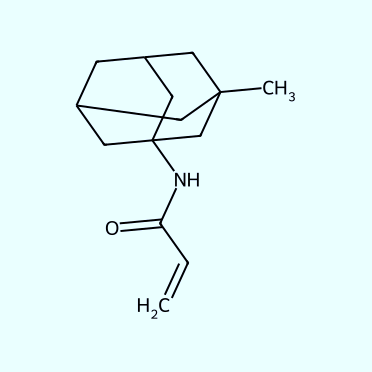 C=CC(=O)NC12CC3CC(CC(C)(C3)C1)C2